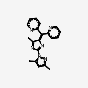 CC1=NC(n2nc(C)cc2C)=NC1=C(c1ccccn1)c1ccccn1